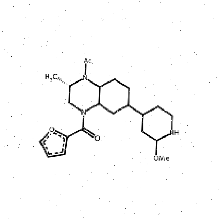 COC1CC(C2CCC3C(C2)N(C(=O)c2ccco2)C[C@H](C)N3C(C)=O)CCN1